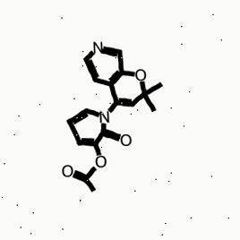 CC(=O)Oc1cccn(C2=CC(C)(C)Oc3cnccc32)c1=O